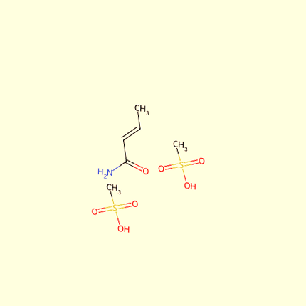 CC=CC(N)=O.CS(=O)(=O)O.CS(=O)(=O)O